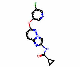 O=C(Nc1cn2nc(Oc3cncc(Br)c3)ccc2n1)C1CC1